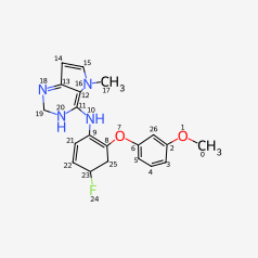 COc1cccc(OC2=C(NC3=c4c(ccn4C)=NCN3)C=CC(F)C2)c1